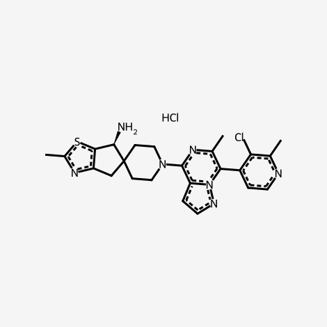 Cc1nc2c(s1)[C@@H](N)C1(CCN(c3nc(C)c(-c4ccnc(C)c4Cl)n4nccc34)CC1)C2.Cl